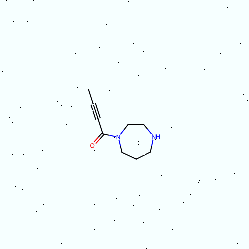 CC#CC(=O)N1CCCNCC1